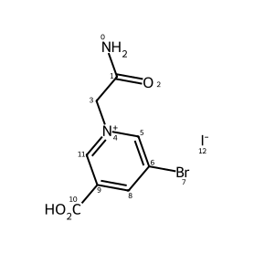 NC(=O)C[n+]1cc(Br)cc(C(=O)O)c1.[I-]